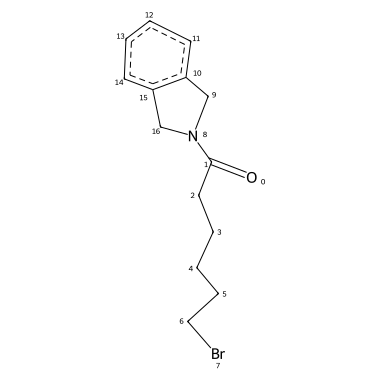 O=C(CCCCCBr)N1Cc2ccccc2C1